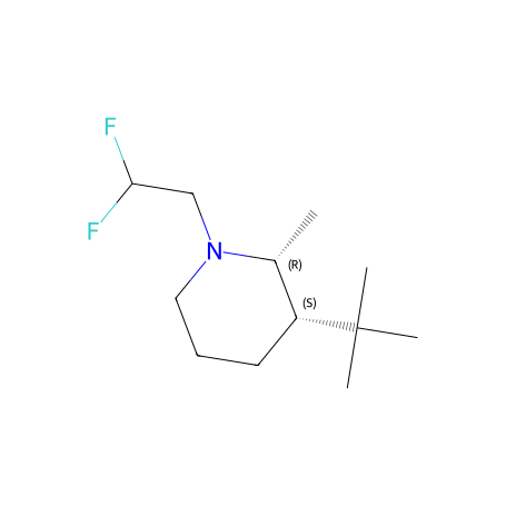 C[C@@H]1[C@H](C(C)(C)C)CCCN1CC(F)F